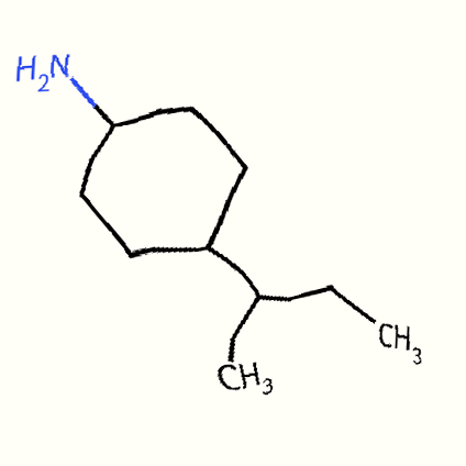 CCC(C)C1CCC(N)CC1